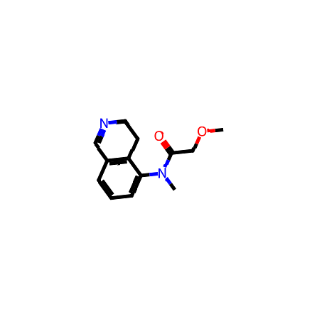 COCC(=O)N(C)c1cccc2c1CCN=C2